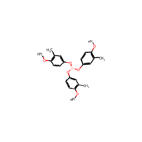 CCCOc1ccc(OB(Oc2ccc(OCCC)c(C)c2)Oc2ccc(OCCC)c(C)c2)cc1C